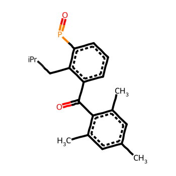 Cc1cc(C)c(C(=O)c2cccc(P=O)c2CC(C)C)c(C)c1